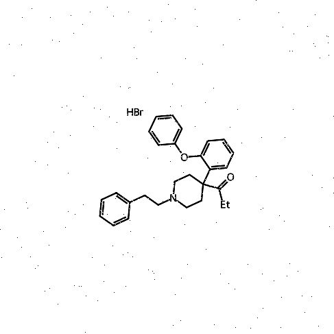 Br.CCC(=O)C1(c2ccccc2Oc2ccccc2)CCN(CCc2ccccc2)CC1